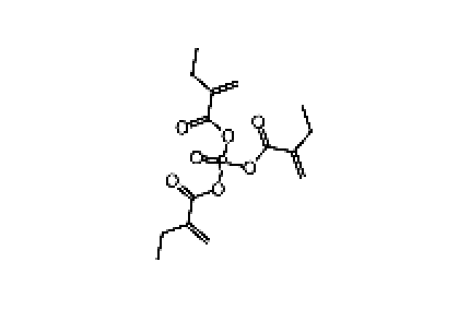 C=C(CC)C(=O)OP(=O)(OC(=O)C(=C)CC)OC(=O)C(=C)CC